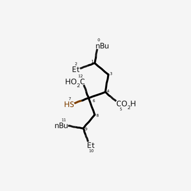 CCCCC(CC)CC(C(=O)O)C(S)(CC(CC)CCCC)C(=O)O